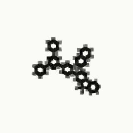 CC1(C)c2ccccc2-c2cc(-c3ccc4ccccc4c3)c(-c3ccc(-c4cc(-c5ccccc5)nc(-c5ccccc5)n4)cc3)cc21